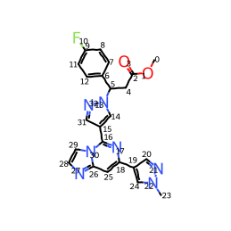 COC(=O)CC(c1ccc(F)cc1)n1cc(-c2nc(-c3cnn(C)c3)cc3nccn23)cn1